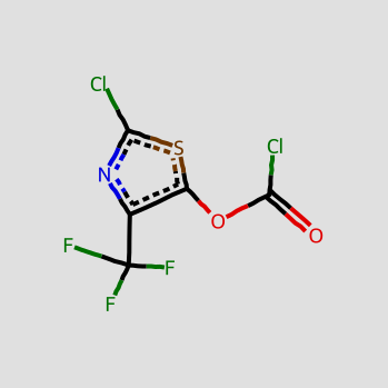 O=C(Cl)Oc1sc(Cl)nc1C(F)(F)F